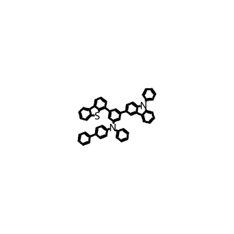 c1ccc(-c2ccc(N(c3ccccc3)c3cc(-c4ccc5c(c4)c4ccccc4n5-c4ccccc4)cc(-c4cccc5c4sc4ccccc45)c3)cc2)cc1